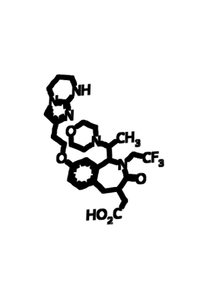 CC(C1c2cc(OCCc3cn4c(n3)NCCC4)ccc2CC(CC(=O)O)C(=O)N1CC(F)(F)F)N1CCOCC1